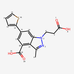 Cc1nn(CCC(=O)O)c2cc(-c3cccs3)cc(C(=O)O)c12